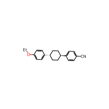 CCOc1ccc([C@H]2CC[C@H](c3ccc(C#N)cc3)CC2)cc1